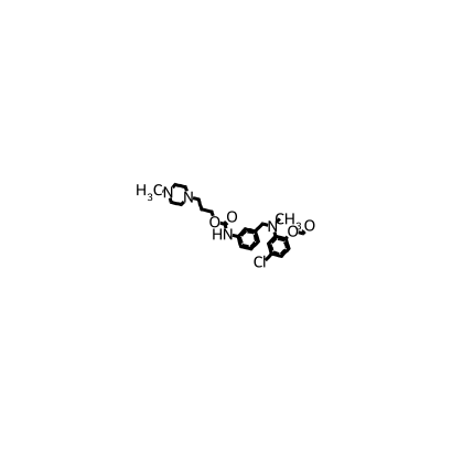 CN1CCN(CCCOC(=O)Nc2cccc(CN(C)c3cc(Cl)ccc3OC=O)c2)CC1